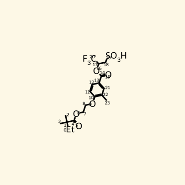 CCC(C)(C)C(=O)OCCOc1ccc(C(=O)OC(CS(=O)(=O)O)C(F)(F)F)cc1C